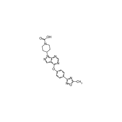 Cc1nc(-c2ccc(Oc3ncnc4c3cnn4C3CCN(C(=O)O)CC3)cc2)no1